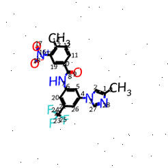 Cc1cn(-c2cc(NC(=O)c3ccc(C)c([N+](=O)[O-])c3)cc(C(F)(F)F)c2)cn1